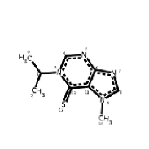 CC(C)n1cnc2ncn(C)c2c1=S